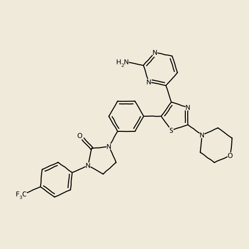 Nc1nccc(-c2nc(N3CCOCC3)sc2-c2cccc(N3CCN(c4ccc(C(F)(F)F)cc4)C3=O)c2)n1